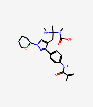 C=C(C)C(=O)Nc1ccc(-c2nn(C3CCCCO3)cc2CC(C)(NC)N(C)C(=O)O)cc1